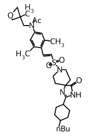 CCCCC1CCC(C2=NC3(CCN(S(=O)(=O)C=Cc4c(C)cc(N(CC5(C)COC5)C(C)=O)cc4C)CC3)C(=O)N2)CC1